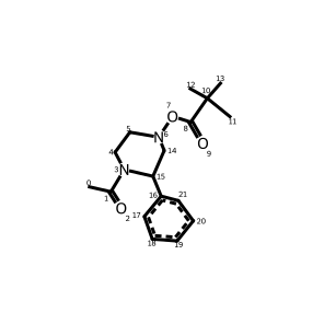 CC(=O)N1CCN(OC(=O)C(C)(C)C)CC1c1ccccc1